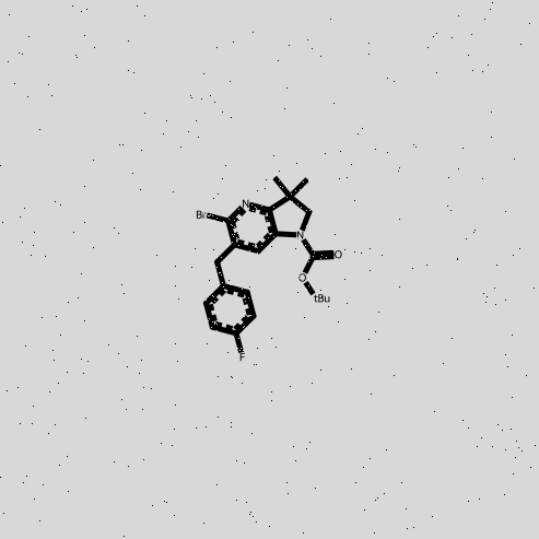 CC(C)(C)OC(=O)N1CC(C)(C)c2nc(Br)c(Cc3ccc(F)cc3)cc21